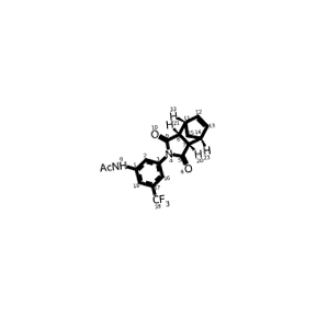 CC(=O)Nc1cc(N2C(=O)[C@@H]3[C@H](C2=O)[C@@H]2C=C[C@H]3C2)cc(C(F)(F)F)c1